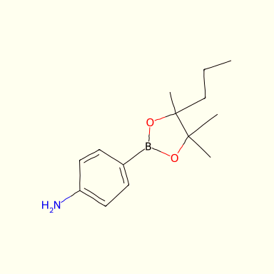 CCCC1(C)OB(c2ccc(N)cc2)OC1(C)C